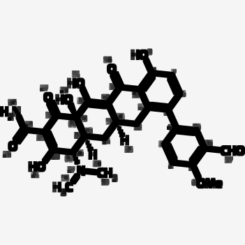 COc1ccc(-c2ccc(O)c3c2C[C@H]2C[C@H]4[C@H](N(C)C)C(O)=C(C(N)=O)C(=O)[C@]4(O)C(O)=C2C3=O)cc1C=O